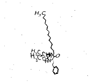 CCCCCCCCCCCCCCNC(=O)[C@H](CCc1ccccc1)NC(=O)OC(C)(C)C